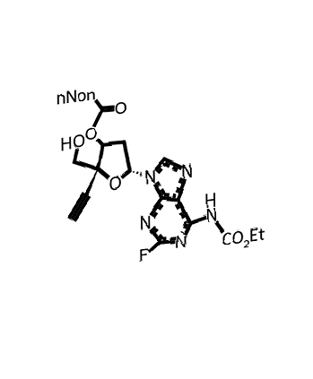 C#C[C@]1(CO)O[C@@H](n2cnc3c(NC(=O)OCC)nc(F)nc32)CC1OC(=O)CCCCCCCCC